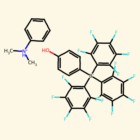 C[NH+](C)c1ccccc1.Oc1ccc([B-](c2c(F)c(F)c(F)c(F)c2F)(c2c(F)c(F)c(F)c(F)c2F)c2c(F)c(F)c(F)c(F)c2F)cc1